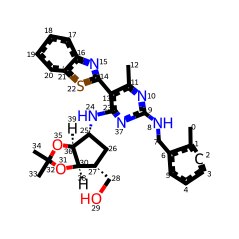 Cc1ccccc1CNc1nc(C)c(-c2nc3ccccc3s2)c(N[C@@H]2C[C@H](CO)[C@H]3OC(C)(C)O[C@H]32)n1